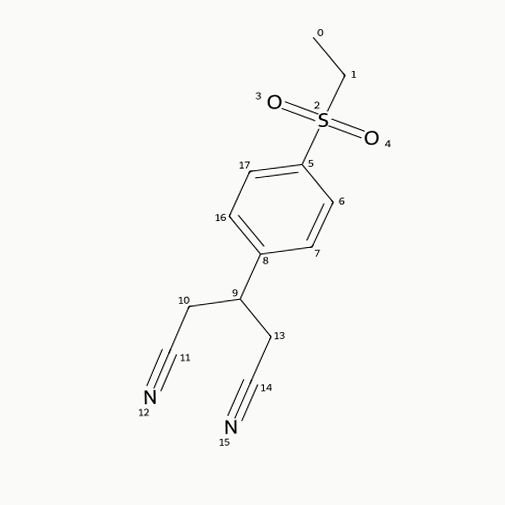 CCS(=O)(=O)c1ccc(C(CC#N)CC#N)cc1